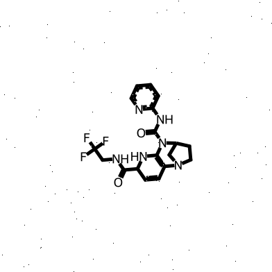 O=C(NCC(F)(F)F)C1C=CC2=C(N1)N(C(=O)Nc1ccccn1)C1CCN2C1